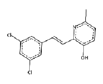 Cc1ccc(O)c(C=Cc2cc(Cl)cc(Cl)c2)n1